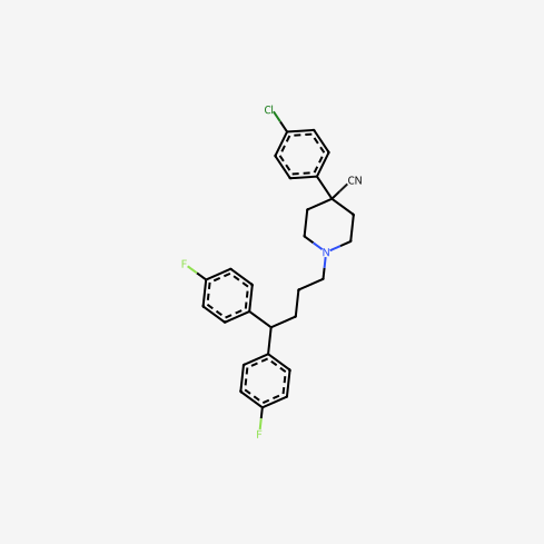 N#CC1(c2ccc(Cl)cc2)CCN(CCCC(c2ccc(F)cc2)c2ccc(F)cc2)CC1